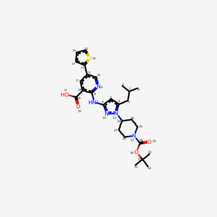 CC(C)Cc1cc(Nc2ncc(-c3cccs3)cc2C(=O)O)nn1C1CCN(C(=O)OC(C)(C)C)CC1